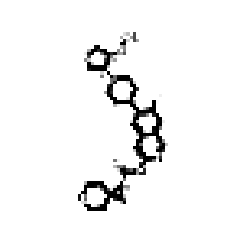 CO[C@@H]1COC[C@@H]1N1CCC(c2cc3cc(NC(=O)[C@H]4CC45CCOCC5)ncc3cc2Cl)CC1